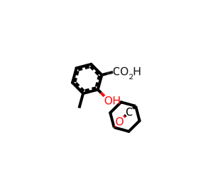 C1CC2CCC1CO2.Cc1cccc(C(=O)O)c1O